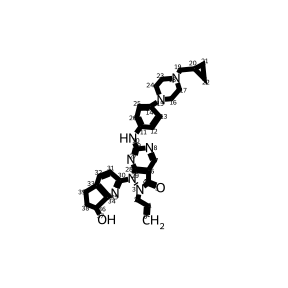 C=CCn1c(=O)c2cnc(Nc3ccc(N4CCN(CC5CC5)CC4)cc3)nc2n1-c1ccc2c(n1)C(O)CC2